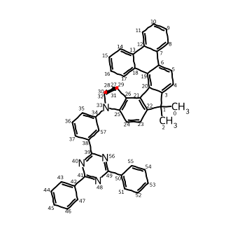 CC1(C)c2ccc3c4ccccc4c4ccccc4c3c2-c2c1ccc1c2c2ccccc2n1-c1cccc(-c2nc(-c3ccccc3)nc(-c3ccccc3)n2)c1